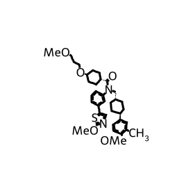 COCCCO[C@H]1CC[C@H](C(=O)N(C[C@H]2CC[C@H](c3ccc(OC)c(C)c3)CC2)c2cccc(-c3cnc(OC)s3)c2)CC1